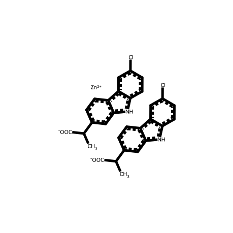 CC(C(=O)[O-])c1ccc2c(c1)[nH]c1ccc(Cl)cc12.CC(C(=O)[O-])c1ccc2c(c1)[nH]c1ccc(Cl)cc12.[Zn+2]